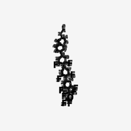 CCCc1ccc2cc(-c3cc(F)c(-c4cc(F)c(-c5cc(F)c(C(F)(F)OC(F)(F)F)c(F)c5)c(F)c4)c(F)c3)ccc2c1